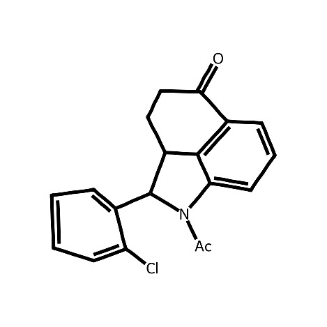 CC(=O)N1c2cccc3c2C(CCC3=O)C1c1ccccc1Cl